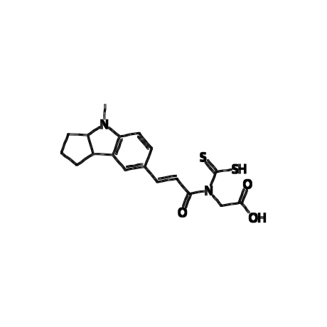 CN1c2ccc(/C=C/C(=O)N(CC(=O)O)C(=S)S)cc2C2CCCC21